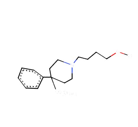 CCOCCCCN1CCC(C(=O)OCC)(c2ccccc2)CC1.Cl